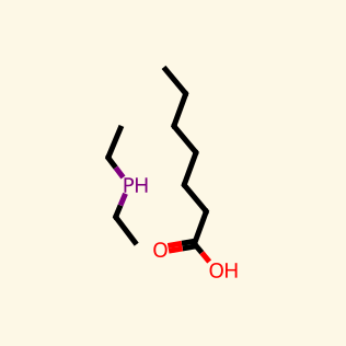 CCCCCCC(=O)O.CCPCC